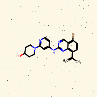 C=C(C)c1ccc(Br)c2cnc(Nc3ccnc(N4CCC(O)CC4)c3)nc12